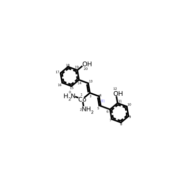 [NH2][Co]([NH2])[C](/[C]=C/c1ccccc1O)=Cc1ccccc1O